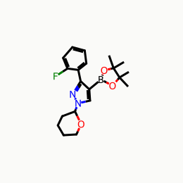 CC1(C)OB(c2cn(C3CCCCO3)nc2-c2ccccc2F)OC1(C)C